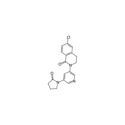 O=C1CCCN1c1cncc(N2CCc3cc(Cl)ccc3C2=O)c1